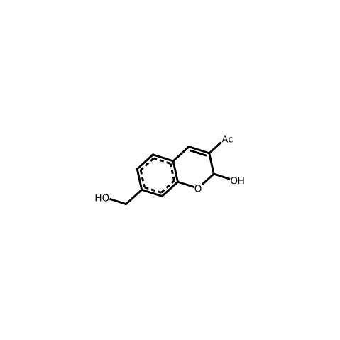 CC(=O)C1=Cc2ccc(CO)cc2OC1O